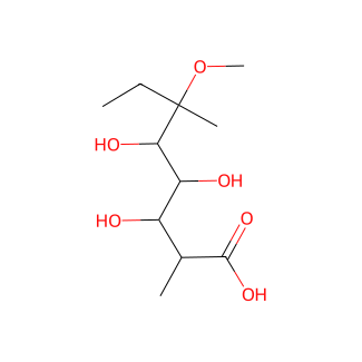 CCC(C)(OC)C(O)C(O)C(O)C(C)C(=O)O